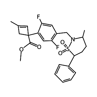 COC(=O)C1(c2cc(F)c(CN3C(C)CCC(c4ccccc4)S3(=O)=O)cc2F)C=C(C)C1